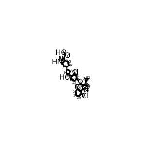 O=C(O)c1n[nH]c2cc([C@H]3C[C@](O)(c4ccc(OCc5c(-c6c(Cl)cccc6Cl)noc5C5CC5)cc4Cl)C3)ccc12